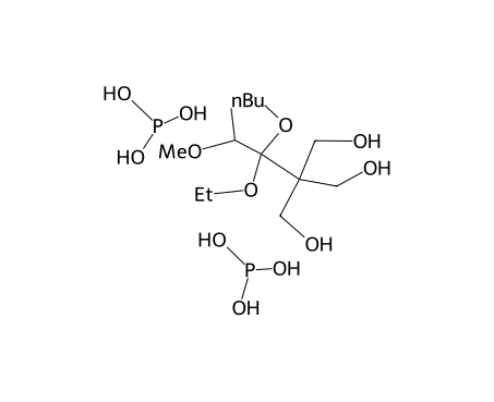 CCCCOC(OCC)(C(C)OC)C(CO)(CO)CO.OP(O)O.OP(O)O